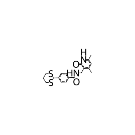 Cc1cc(C)c(CNC(=O)c2ccc(C3SCCCS3)cc2)c(=O)[nH]1